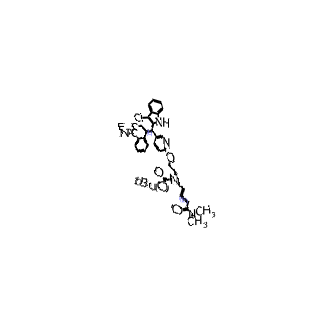 CN(C)C(=O)/C=C/CN(CCOc1ccc(/C(=C(/CC(F)(F)F)c2ccccc2C#N)c2[nH]c3ccccc3c2Cl)cn1)C(=O)OC(C)(C)C